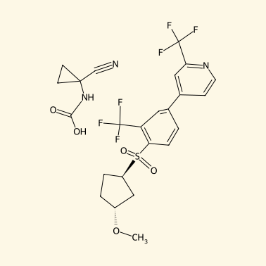 CO[C@@H]1CC[C@@H](S(=O)(=O)c2ccc(-c3ccnc(C(F)(F)F)c3)cc2C(F)(F)F)C1.N#CC1(NC(=O)O)CC1